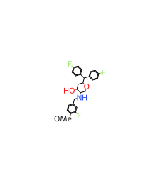 COc1ccc(CNC2COC(C(c3ccc(F)cc3)c3ccc(F)cc3)CC2O)cc1F